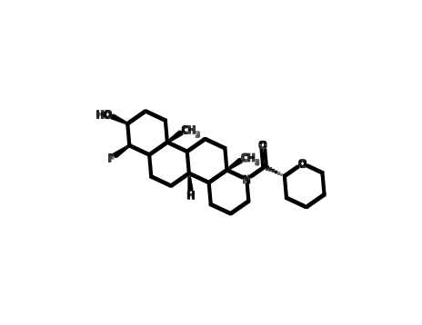 C[C@]12CC[C@H](O)[C@H](F)C1CC[C@@H]1C2CC[C@@]2(C)C1CCCN2C(=O)[C@H]1CCCCO1